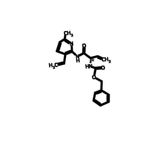 C=Cc1ccc(C)nc1NC(=O)[C@H](C=C)NC(=O)OCc1ccccc1